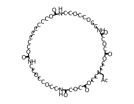 CC(=O)CN1CCOC(=O)COCC(=O)NCCOCCOCCNC(=O)OCCCCCCCCOC(=O)NCCOCCOCCNC(=O)COCC(=O)OCC1